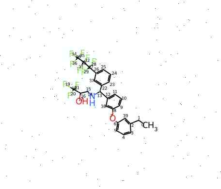 CCc1cccc(Oc2cccc(C(NCC(O)C(F)(F)F)c3cccc(C(F)(F)C(F)(F)C(F)(F)F)c3)c2)c1